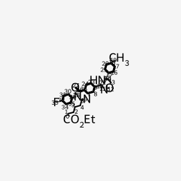 CCOC(=O)CCCCc1nc2cc(C3=NOC[C@@H](c4ccc(C)cc4)N3)ccc2c(=O)n1-c1ccc(F)cc1